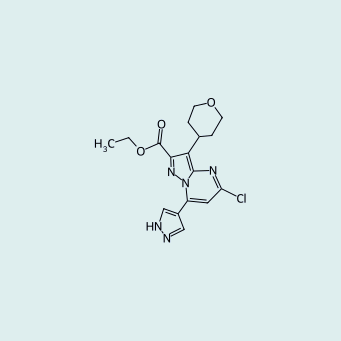 CCOC(=O)c1nn2c(-c3cn[nH]c3)cc(Cl)nc2c1C1CCOCC1